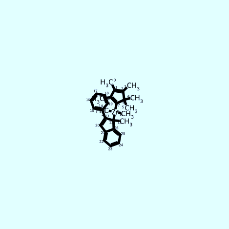 CC1=C(C)C(C)(C)[C]([Zr]([CH3])([CH3])[C]2(C)C(c3ccccc3)=Cc3ccccc32)=C1C